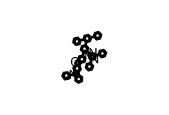 c1ccc(-c2ccc(-c3ccccc3)c(-c3ccc(-c4ccc5c(c4)oc4cc6c(cc45)c4ccccc4n6-c4ccccc4)c(-c4nc(-c5ccccc5)nc(-c5ccccc5)n4)c3)c2)cc1